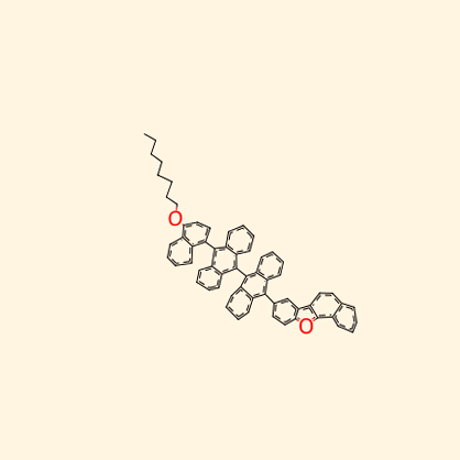 CCCCCCCCOc1ccc(-c2c3ccccc3c(-c3c4ccccc4c(-c4ccc5oc6c7ccccc7ccc6c5c4)c4ccccc34)c3ccccc23)c2ccccc12